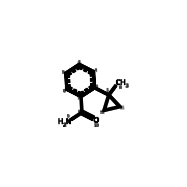 CC1(c2ccccc2C(N)=O)CC1